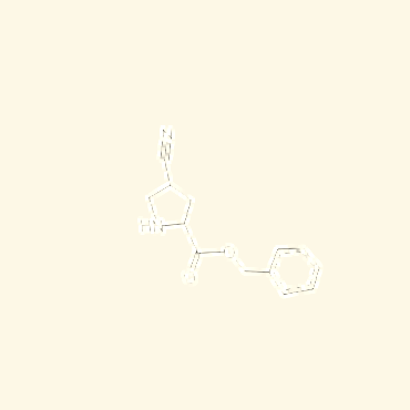 N#CC1CNC(C(=O)OCc2ccccc2)C1